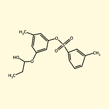 CCC(O)Oc1cc(C)cc(OS(=O)(=O)c2cccc(C)c2)c1